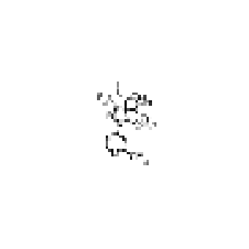 CC(CI)C1(C(O)C(F)(F)F)C(C(F)(F)F)=NN(c2ccnc(C(F)(F)F)c2)C1O